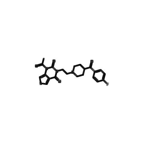 CC(=O)n1c(=O)n(CCN2CCC(C(=O)c3ccc(F)cc3)CC2)c(=O)c2cscc21